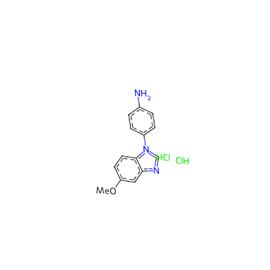 COc1ccc2c(c1)ncn2-c1ccc(N)cc1.Cl.Cl